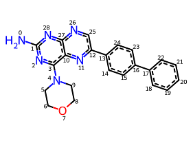 Nc1nc(N2CCOCC2)c2nc(-c3ccc(-c4ccccc4)cc3)cnc2n1